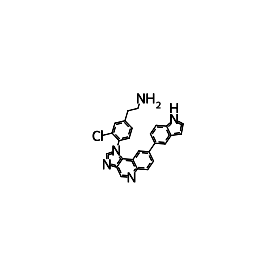 NCCc1ccc(-n2cnc3cnc4ccc(-c5ccc6[nH]ccc6c5)cc4c32)c(Cl)c1